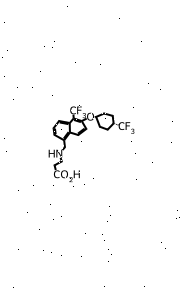 O=C(O)CCNCc1cccc2c(C(F)(F)F)c(O[C@H]3CC[C@@H](C(F)(F)F)CC3)ccc12